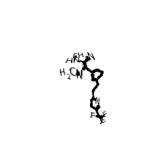 C=N/C(=C(/C#N)NC)c1cccc(/C=C/c2ccc(C(F)(F)F)cn2)c1